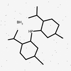 B.CC1CCC(C(C)C)C(PC2CC(C)CCC2C(C)C)C1